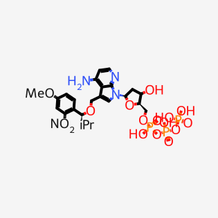 COc1ccc([C@H](OCc2cn([C@H]3CC(O)[C@@H](COP(=O)(O)OP(=O)(O)OP(=O)(O)O)O3)c3nccc(N)c23)C(C)C)c([N+](=O)[O-])c1